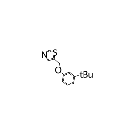 CC(C)(C)c1cccc(OCc2cncs2)c1